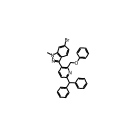 Cn1nc(-c2ccc(C(c3ccccc3)c3ccccc3)nc2COc2ccccc2)c2ccc(Br)cc21